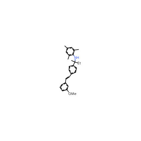 CCC(C)(Nc1c(C)cc(C)cc1C)c1ccc(C=Cc2cccc(OC)c2)cc1